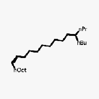 CCCCCCCC/C=C\CCCCCCCCC(CCC)CCCC